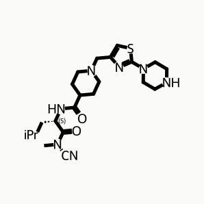 CC(C)C[C@H](NC(=O)C1CCN(Cc2csc(N3CCNCC3)n2)CC1)C(=O)N(C)C#N